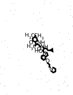 CC1=C(C(=O)NC(CCC2CC2)C(O)N2CCc3c(OCCCN4CCCCC4)cccc32)NC2CC(C)(C)CC(=O)C12